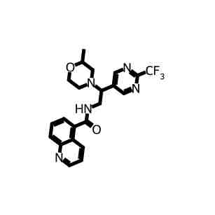 CC1CN(C(CNC(=O)c2cccc3ncccc23)c2cnc(C(F)(F)F)nc2)CCO1